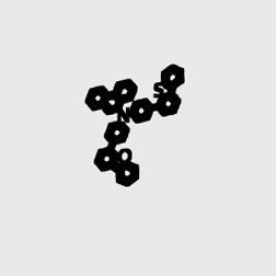 c1ccc2c(c1)cc(N(c1ccc(-c3cccc4c3oc3ccccc34)cc1)c1ccc(-c3cccc4c3sc3ccccc34)cc1)c1ccccc12